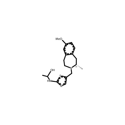 COc1ccc2c(c1)CCN(Cc1cnc(NC(C)O)s1)[C@@H](C)C2